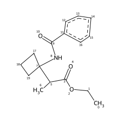 CCOC(=O)C(C)C1(NC(=O)c2ccccc2)CCC1